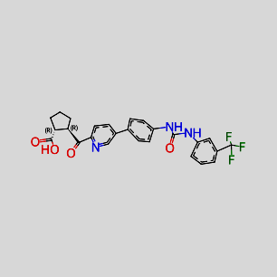 O=C(Nc1ccc(-c2ccc(C(=O)[C@@H]3CCC[C@H]3C(=O)O)nc2)cc1)Nc1cccc(C(F)(F)F)c1